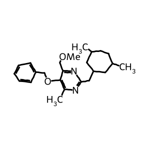 COCc1nc(CC2CC(C)CCC(C)C2)nc(C)c1OCc1ccccc1